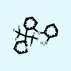 Nc1ccccc1Oc1ccccc1C(c1ccccc1)(C(F)(F)F)C(F)(F)F